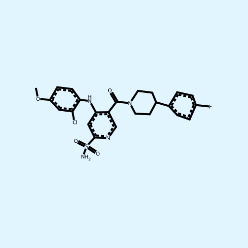 COc1ccc(Nc2cc(S(N)(=O)=O)ncc2C(=O)N2CCC(c3ccc(F)cc3)CC2)c(Cl)c1